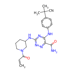 C=CC(=O)N1CCCC(Nc2nnc(C(N)=O)c(Nc3ccc(C(C)(C)C#N)cc3)n2)C1